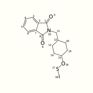 O=C1c2ccccc2C(=O)N1CC1CCC(OSI)CC1